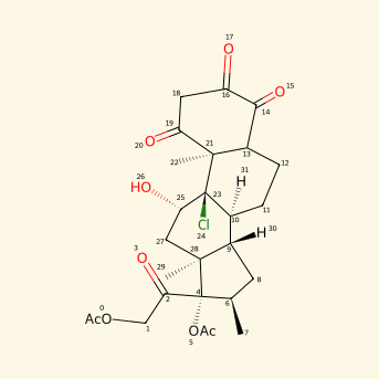 CC(=O)OCC(=O)[C@]1(OC(C)=O)[C@H](C)C[C@H]2[C@@H]3CCC4C(=O)C(=O)CC(=O)[C@]4(C)[C@@]3(Cl)[C@@H](O)C[C@@]21C